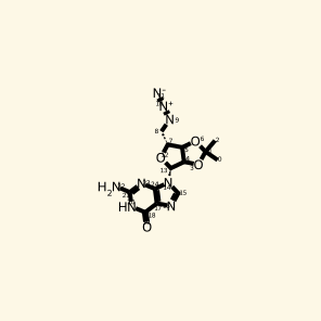 CC1(C)OC2C(O1)[C@@H](CN=[N+]=[N-])O[C@H]2n1cnc2c(=O)[nH]c(N)nc21